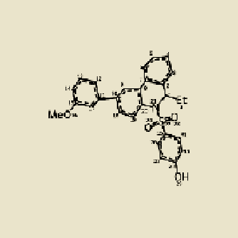 CCC1c2ccccc2-c2cc(-c3cccc(OC)c3)ccc2N1S(=O)(=O)c1ccc(O)cc1